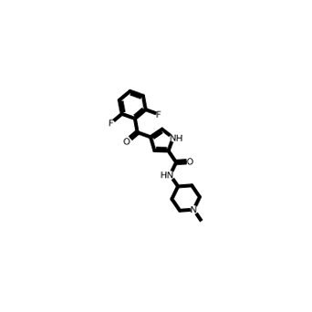 CN1CCC(NC(=O)c2cc(C(=O)c3c(F)cccc3F)c[nH]2)CC1